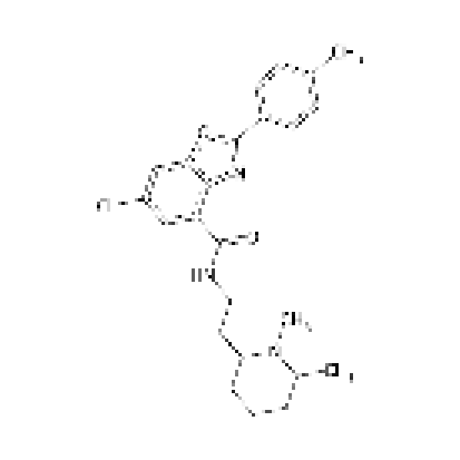 Cc1ccc(-c2nc3c(C(=O)NCCC4CCCC(C)N4C)cc(Cl)cc3o2)cc1